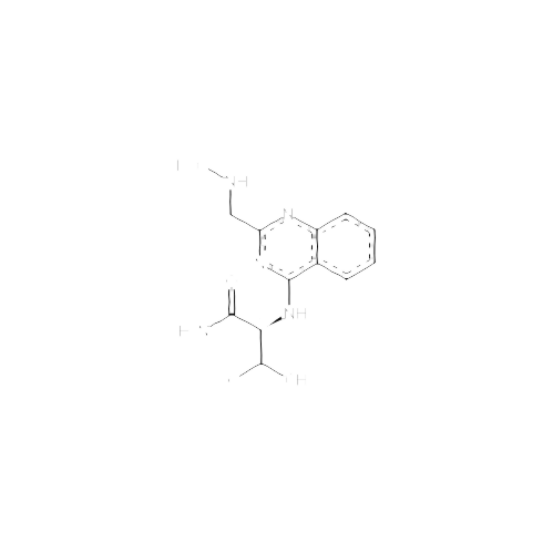 CNCc1nc(N[C@H](C(N)=O)C(C)C)c2ccccc2n1